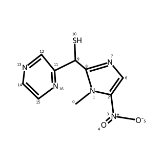 Cn1c([N+](=O)[O-])cnc1C(S)c1cnccn1